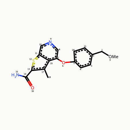 COCc1ccc(Oc2cncc3sc(C(N)=O)c(C)c23)cc1